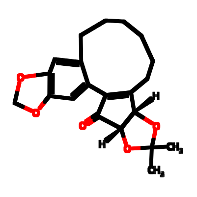 CC1(C)O[C@@H]2C(=O)C3=C(CCCCCCc4cc5c(cc43)OCO5)[C@@H]2O1